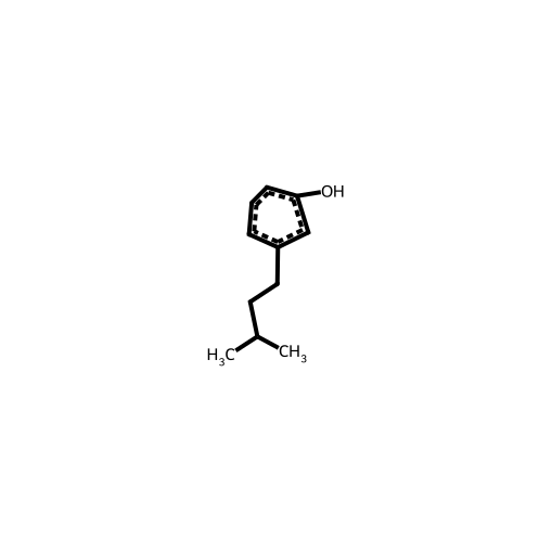 CC(C)CCc1cccc(O)c1